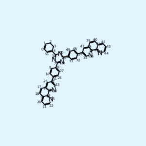 C1=CCCC(c2nc(-c3ccc(-c4cnc5c(ccc6cccnc65)c4)cc3)nc(-c3ccc(-c4cnc5c(ccc6cccnc65)c4)cc3)n2)=C1